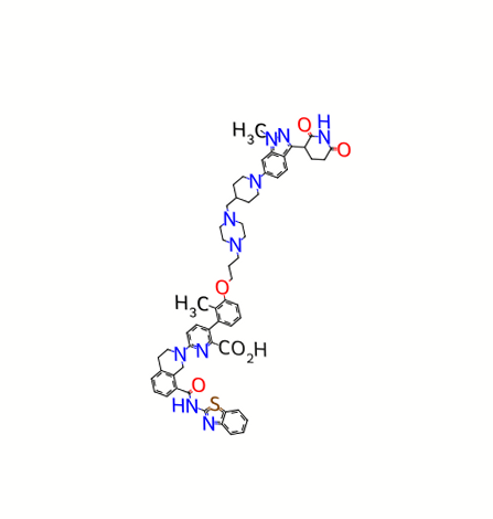 Cc1c(OCCCN2CCN(CC3CCN(c4ccc5c(C6CCC(=O)NC6=O)nn(C)c5c4)CC3)CC2)cccc1-c1ccc(N2CCc3cccc(C(=O)Nc4nc5ccccc5s4)c3C2)nc1C(=O)O